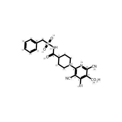 CCc1c(C#N)c(N2CCC(C(=O)NS(=O)(=O)Cc3ccccc3)CC2)nc(C#N)c1C(=O)O